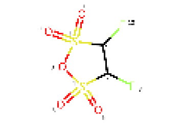 O=S1(=O)OS(=O)(=O)C(F)C1F